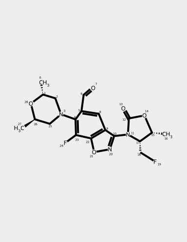 C[C@@H]1CN(c2c(C=O)cc3c(N4C(=O)O[C@H](C)[C@@H]4CF)noc3c2F)C[C@@H](C)O1